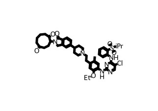 CCOc1cc(CCN2CCC(c3ccc4c(c3)CN(C3CCC(=O)CCCCC3=O)C4=O)CC2)c(C)cc1Nc1ncc(Cl)c(Nc2ccccc2S(=O)(=O)C(C)C)n1